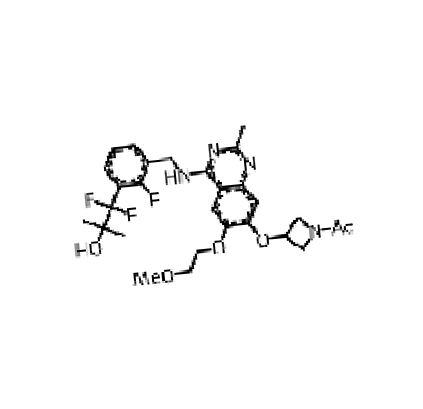 COCCOc1cc2c(NCc3cccc(C(F)(F)C(C)(C)O)c3F)nc(C)nc2cc1OC1CN(C(C)=O)C1